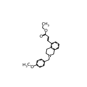 CCOC(=O)/C=C/c1cccc2c1CCN(Cc1ccc(OC)cc1)C2